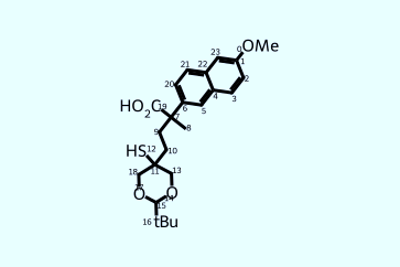 COc1ccc2cc(C(C)(CCC3(S)COC(C(C)(C)C)OC3)C(=O)O)ccc2c1